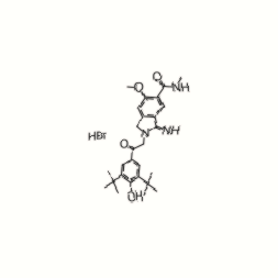 Br.CNC(=O)c1cc2c(cc1OC)CN(CC(=O)c1cc(C(C)(C)C)c(O)c(C(C)(C)C)c1)C2=N